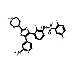 Nc1cc(-c2sc(C3CCNCC3)nc2-c2cccc(NS(=O)(=O)c3cc(F)ccc3F)c2F)ccn1